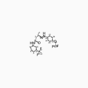 CC(CC(=O)Nc1cccc(C(C)(F)F)c1)=NNc1ccc(OC(F)F)cc1